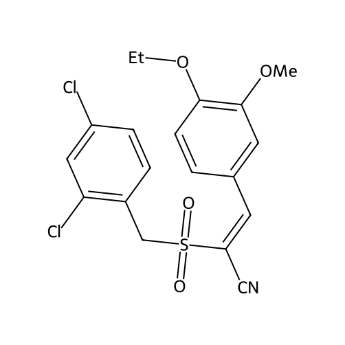 CCOc1ccc(C=C(C#N)S(=O)(=O)Cc2ccc(Cl)cc2Cl)cc1OC